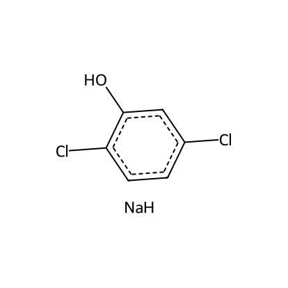 Oc1cc(Cl)ccc1Cl.[NaH]